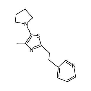 Cc1nc(CCc2cccnc2)sc1N1CCCC1